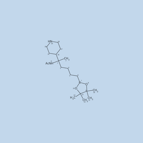 CC(=O)NC(C)(CCCCB1OC(C)(C)C(C)(C)O1)C1CCNCC1